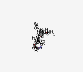 C=C(CBr)C(=O)OCCCCCC(=O)N[C@H](C(=O)N[C@@H](CCCNC(N)=O)C(=O)Nc1ccc(NC(=O)O[C@H]2CC(=O)N(C)c3cc(cc(OC)c3Cl)C/C(C)=C/C=C/[C@@H](OC)[C@@]3(O)C[C@H](OC(=O)N3)[C@@H](C)[C@@H](C)OC2C)cc1OC)C(C)C